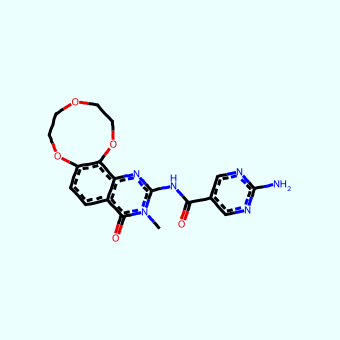 Cn1c(NC(=O)c2cnc(N)nc2)nc2c3c(ccc2c1=O)OCCOCCO3